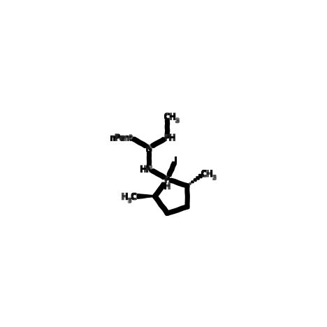 CCCCCN(N[PH]1(I)[C@H](C)CC[C@H]1C)PC